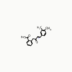 Cc1ccc(/C=C/C(=O)Cc2ccccc2C(=O)O)cc1C